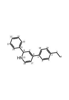 CCc1ccc(C2=CC(c3ccccc3)NC=C2)cc1